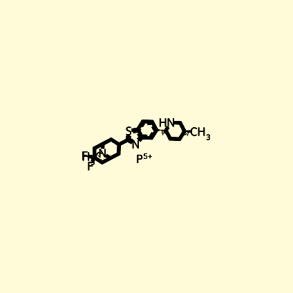 C[C@H]1CC[C@H](c2ccc3sc(C4CC5CC(F)(F)CC(C4)N5C)nc3c2)NC1.[P+5]